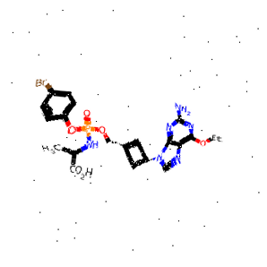 CCOc1nc(N)nc2c1ncn2[C@H]1C[C@@H](COP(=O)(NC(C)C(=O)O)Oc2ccc(Br)cc2)C1